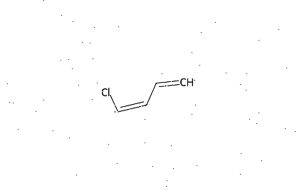 [CH]=C/C=[C]\Cl